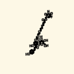 O=C(CCCSSCCOCCOCCOc1cc(O)c(C(=O)CCc2ccc(O)cc2)c(O[C@@H]2O[C@H](CO)[C@@H](O)C(O)[C@H]2O)c1)OCn1cc(F)c(=O)[nH]c1=O